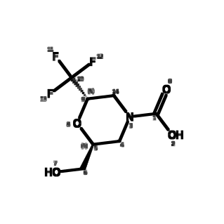 O=C(O)N1C[C@@H](CO)O[C@H](C(F)(F)F)C1